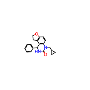 O=C1NC(c2ccccc2)c2c(ccc3c2CCO3)N1CC1CC1